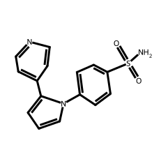 NS(=O)(=O)c1ccc(-n2cccc2-c2ccncc2)cc1